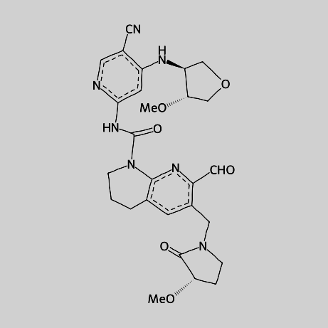 CO[C@H]1CCN(Cc2cc3c(nc2C=O)N(C(=O)Nc2cc(N[C@H]4COC[C@@H]4OC)c(C#N)cn2)CCC3)C1=O